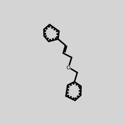 C(=Cc1ccccc1)COCc1ccccc1